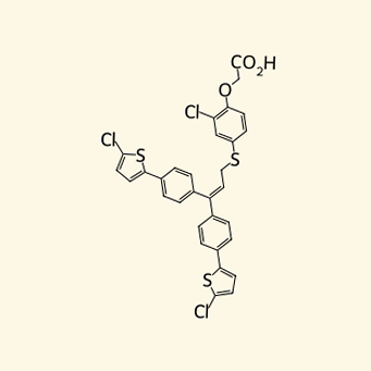 O=C(O)COc1ccc(SCC=C(c2ccc(-c3ccc(Cl)s3)cc2)c2ccc(-c3ccc(Cl)s3)cc2)cc1Cl